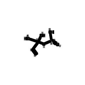 C=CC(O)(O)O[PH](=O)O